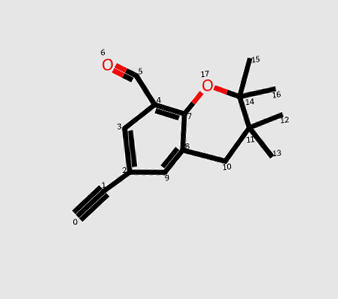 C#Cc1cc(C=O)c2c(c1)CC(C)(C)C(C)(C)O2